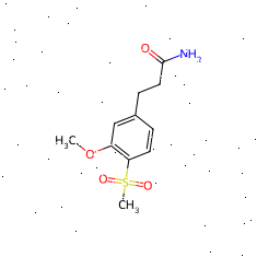 COc1cc(CCC(N)=O)ccc1S(C)(=O)=O